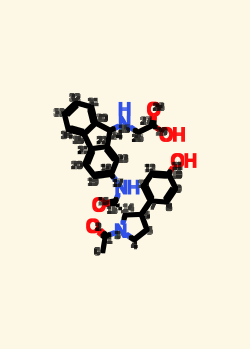 CC(=O)N1CCC(c2ccc(O)cc2)[C@H]1C(=O)Nc1ccc2c(c1)C(NCC(=O)O)c1ccccc1-2